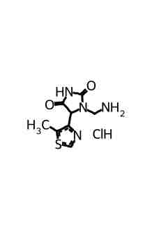 Cc1scnc1C1C(=O)NC(=O)N1CN.Cl